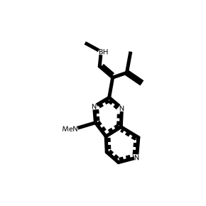 C=C(C)/C(=C\BC)c1nc(NC)c2ccncc2n1